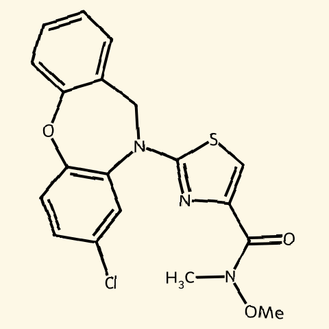 CON(C)C(=O)c1csc(N2Cc3ccccc3Oc3ccc(Cl)cc32)n1